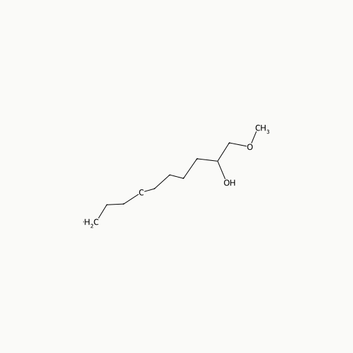 [CH2]CCCCCCCC(O)COC